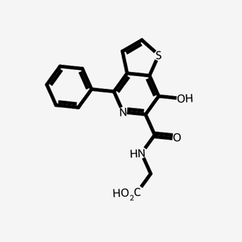 O=C(O)CNC(=O)c1nc(-c2ccccc2)c2ccsc2c1O